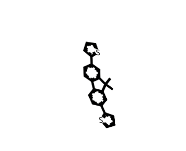 CC1(C)c2cc(-c3cccs3)ccc2-c2ccc(-c3cccs3)cc21